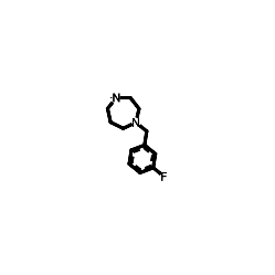 Fc1cccc(CN2CCC[N]CC2)c1